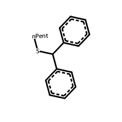 CCCCCSC(c1ccccc1)c1ccccc1